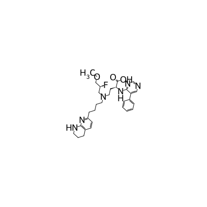 COC[C@@H](F)CN(CCCCc1ccc2c(n1)NCCC2)CC[C@H](Nc1ncncc1-c1ccccc1)C(=O)O